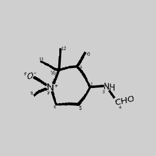 CC1C(NC=O)CC[N+](C)([O-])C1(C)C